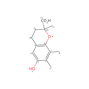 Cc1c(O)cc2c(c1C)OC(C)(C(=O)O)CC2